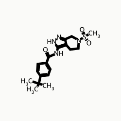 CC(C)(C)c1ccc(C(=O)Nc2[nH]nc3c2CCN(S(C)(=O)=O)C3)cc1